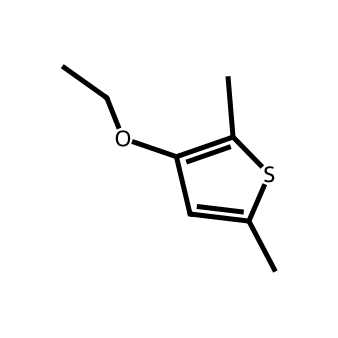 CCOc1cc(C)sc1C